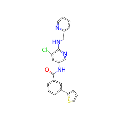 O=C(Nc1cnc(NCc2ccccn2)c(Cl)c1)c1cccc(-c2cccs2)c1